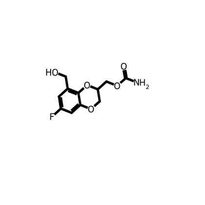 NC(=O)OCC1COc2cc(F)cc(CO)c2O1